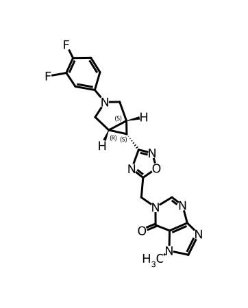 Cn1cnc2ncn(Cc3nc([C@@H]4[C@@H]5CN(c6ccc(F)c(F)c6)C[C@@H]54)no3)c(=O)c21